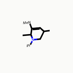 CNC1=CC(C)CN(C(C)C)C1C